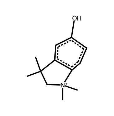 CC1(C)C[N+](C)(C)c2ccc(O)cc21